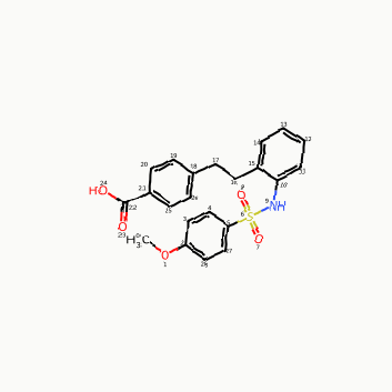 COc1ccc(S(=O)(=O)Nc2ccccc2CCc2ccc(C(=O)O)cc2)cc1